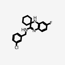 Fc1ccc2c(c1)NC1(CCCCC1)C(NCc1cccc(Cl)c1)=N2